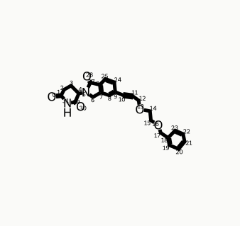 O=C1CCC(N2Cc3cc(C#CCOCCOCc4ccccc4)ccc3C2=O)C(=O)N1